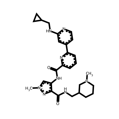 CN1CCCC(CNC(=O)c2nn(C)cc2NC(=O)c2cccc(-c3ccnc(NCC4CC4)c3)n2)C1